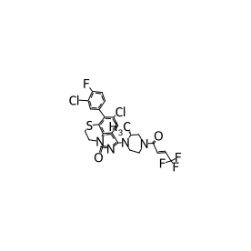 C[C@H]1CN(C(=O)/C=C/C(F)(F)F)CCN1c1nc(=O)n2c3c(c(-c4ccc(F)c(Cl)c4)c(Cl)cc13)SCC2